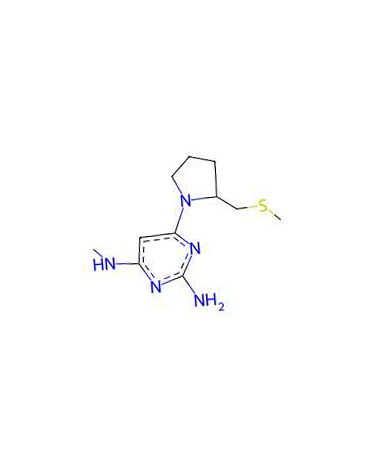 CNc1cc(N2CCCC2CSC)nc(N)n1